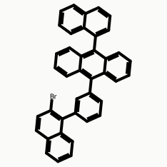 Brc1ccc2ccccc2c1-c1cccc(-c2c3ccccc3c(-c3cccc4ccccc34)c3ccccc23)c1